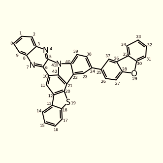 c1ccc2nc3c(nc2c1)c1cc2c4ccccc4sc2c2c4cc(-c5ccc6oc7ccccc7c6c5)ccc4n3c12